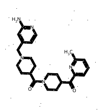 Cc1cccc(C(=O)C2CCN(C(=O)C3CCN(Cc4ccnc(N)c4)CC3)CC2)n1